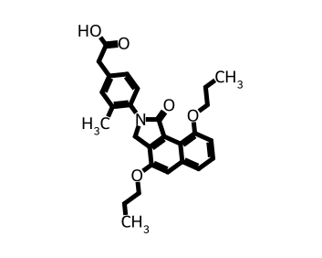 CCCOc1cc2cccc(OCCC)c2c2c1CN(c1ccc(CC(=O)O)cc1C)C2=O